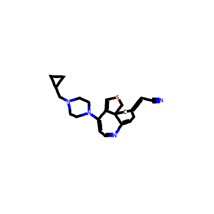 N#CC=C1CC=C2N=CC=C(N3CCN(CC4CC4)CC3)C3=CSCC23C1